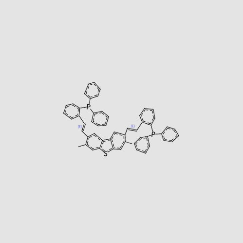 Cc1cc2sc3cc(C)c(/C=C/c4ccccc4P(c4ccccc4)c4ccccc4)cc3c2cc1/C=C/c1ccccc1P(c1ccccc1)c1ccccc1